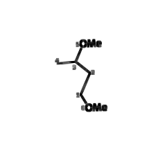 COCCC(C)OC